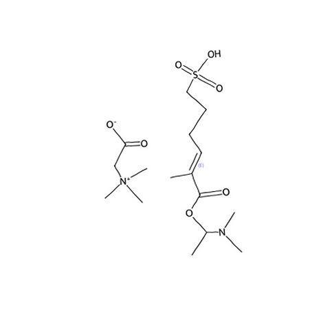 C/C(=C\CCCS(=O)(=O)O)C(=O)OC(C)N(C)C.C[N+](C)(C)CC(=O)[O-]